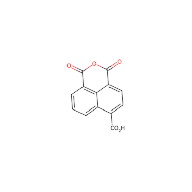 O=C(O)c1ccc2c3c(cccc13)C(=O)OC2=O